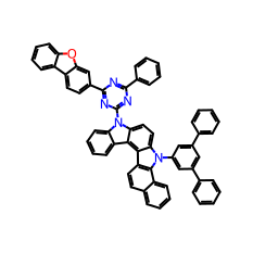 c1ccc(-c2cc(-c3ccccc3)cc(-n3c4ccc5c(c6ccccc6n5-c5nc(-c6ccccc6)nc(-c6ccc7c(c6)oc6ccccc67)n5)c4c4ccc5ccccc5c43)c2)cc1